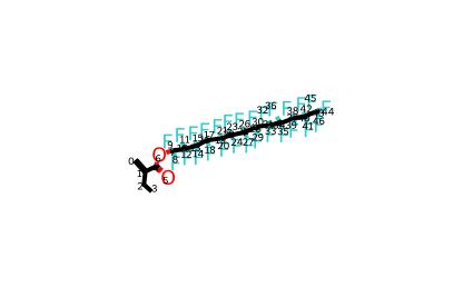 C=C(CC)C(=O)OC(F)(F)C(F)(F)C(F)(F)C(F)(F)C(F)(F)C(F)(F)C(F)(F)C(F)(F)C(F)(F)C(F)(F)C(F)(F)C(F)(F)C(F)(F)F